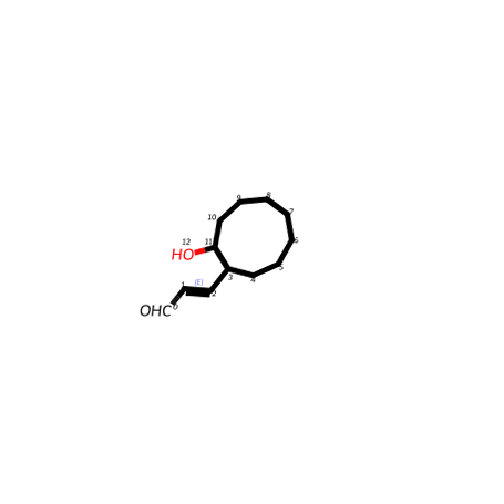 O=C/C=C/C1CCCCCCCC1O